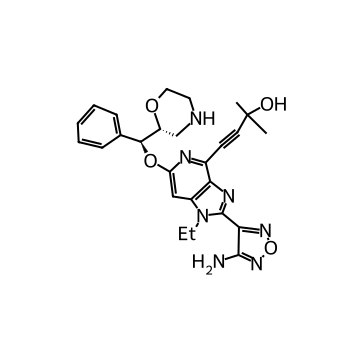 CCn1c(-c2nonc2N)nc2c(C#CC(C)(C)O)nc(O[C@@H](c3ccccc3)[C@H]3CNCCO3)cc21